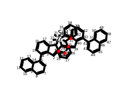 CCC1=Cc2c(-c3cccc4ccccc34)cccc2[CH]1[Zr]([CH3])([CH3])(=[SiH2])([c]1ccccc1)([c]1ccccc1)[CH]1C(CC)=Cc2c(-c3cccc4ccccc34)cccc21